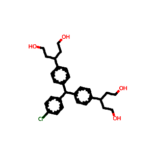 OCCC(CCO)c1ccc(C(c2ccc(Cl)cc2)c2ccc(C(CCO)CCO)cc2)cc1